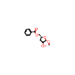 CO[C@@H]1O[C@H](COC(=O)c2ccccc2)C[C@@H]1O